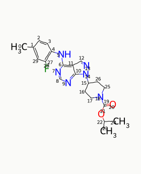 Cc1ccc(Nc2ncnc3c2cnn3C2CCN(C(=O)OC(C)C)CC2)c(F)c1